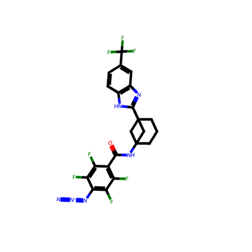 [N-]=[N+]=Nc1c(F)c(F)c(C(=O)NC23CCCC(c4nc5cc(C(F)(F)F)ccc5[nH]4)(C2)C3)c(F)c1F